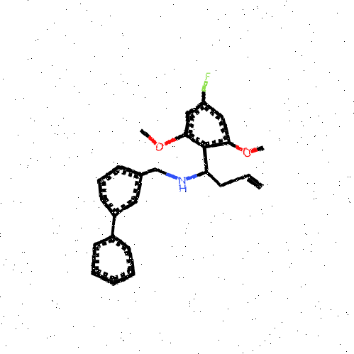 C=CCC(NCc1cccc(-c2ccccc2)c1)c1c(OC)cc(F)cc1OC